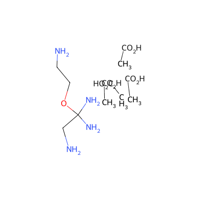 CC(=O)O.CC(=O)O.CC(=O)O.CC(=O)O.NCCOC(N)(N)CN